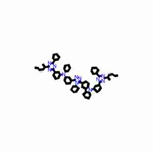 C=C/C=C\C(=C)c1nc(-c2ccccc2)nc(-c2cccc(N(c3ccccc3)c3cccc(-c4nnc(-c5ccc6c(c5)c5ccccc5n6-c5cccc(-c6nc(C(=C)/C=C\C=C)nc(-c7ccccc7)n6)c5)n4C4=CCCC=C4)c3)c2)n1